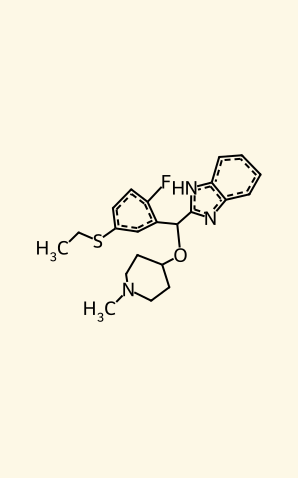 CCSc1ccc(F)c(C(OC2CCN(C)CC2)c2nc3ccccc3[nH]2)c1